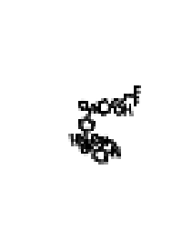 O=C(c1ccc(NS(=O)(=O)c2cccc3nccnc23)cc1)N1CCC(O)(CCCC(F)F)CC1